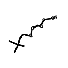 CC(C)(C)COOOOO